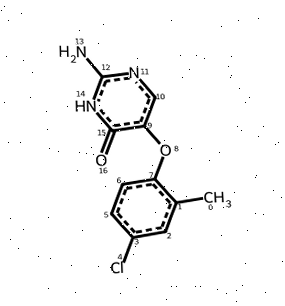 Cc1cc(Cl)ccc1Oc1cnc(N)[nH]c1=O